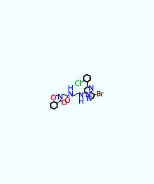 O=CN(CC(=O)NCCNc1cc(-c2ccccc2Cl)nc2c(Br)cnn12)C(=O)c1ccccc1